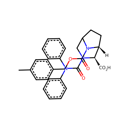 Cc1ccc(COC(=O)N2C3CC[C@@H]2[C@@H](C(=O)O)N(C(=O)N(c2ccccc2)c2ccccc2)C3)cc1